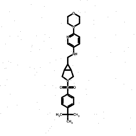 CC(C)(C)c1ccc(S(=O)(=O)N2CC3C(CNc4ccc(N5CCOCC5)nc4)C3C2)cc1